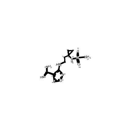 N=C(N)c1nonc1NCCC1(NS(N)(=O)=O)CC1